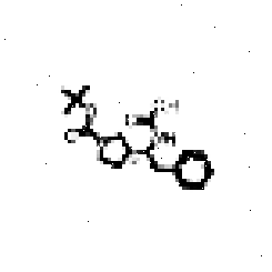 CC(C)(C)OC(=O)N1CC[C@H](C(Cc2ccccc2)NC(=O)O)C1